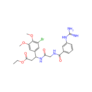 CCOC(=O)CC(NC(=O)CNC(=O)c1cccc(NC(=N)N)c1)c1cc(Br)c(OC)c(OC)c1